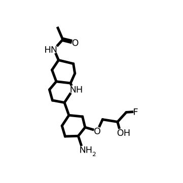 CC(=O)NC1CCC2NC(C3CCC(N)C(OCC(O)CF)C3)CCC2C1